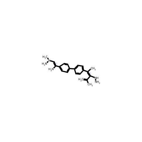 C=C(C)/C(NN)=C(/C)c1ccc(-c2ccc(/C(N)=C/N(C)N)cc2)cc1